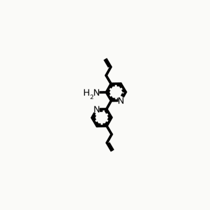 C=CCc1ccnc(-c2nccc(CC=C)c2N)c1